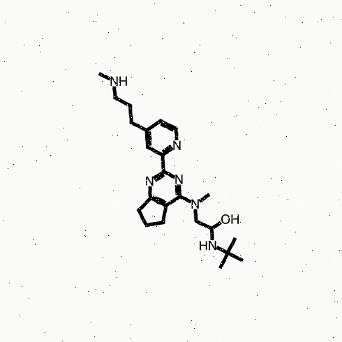 CNCCCc1ccnc(-c2nc3c(c(N(C)CC(O)NC(C)(C)C)n2)CCC3)c1